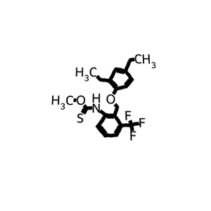 CCc1ccc(OCc2c(NC(=S)OC)cccc2C(F)(F)F)c(CC)c1